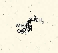 COc1c(-c2ccc(Oc3ccccc3)cc2)c2c(N)ncnc2n1C1CCN(C(=O)/C=C/CN(C)C2CC2)C1